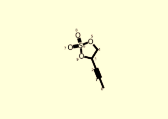 CC#CC1COS(=O)(=O)O1